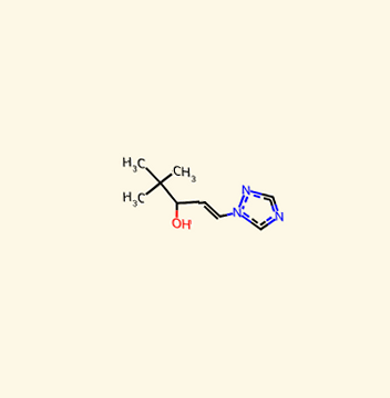 CC(C)(C)C(O)C=Cn1cncn1